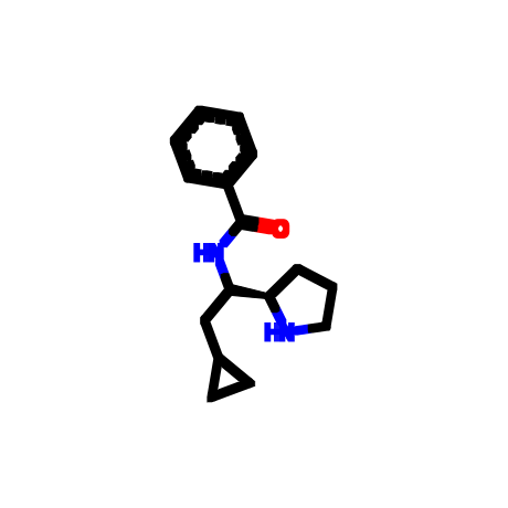 O=C(NC(CC1CC1)[C@H]1CCCN1)c1ccccc1